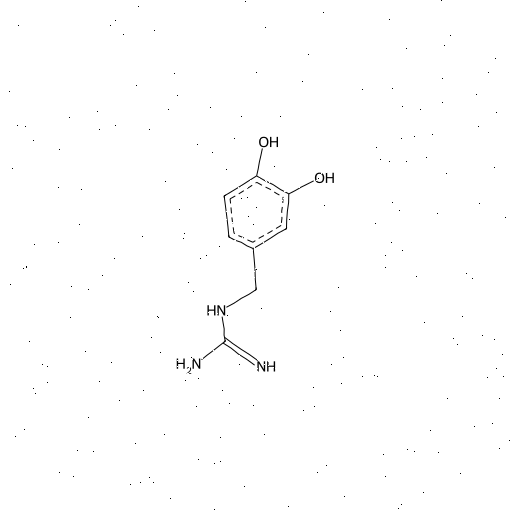 N=C(N)NCc1ccc(O)c(O)c1